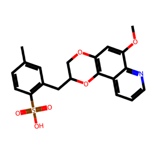 COc1cc2c(c3cccnc13)OC(Cc1cc(C)ccc1S(=O)(=O)O)CO2